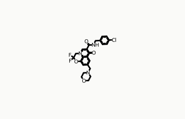 O=C(NCc1ccc(Cl)cc1)c1cn2c3c(cc(CN4CCOCC4)cc3c1=O)OC(F)(F)C2